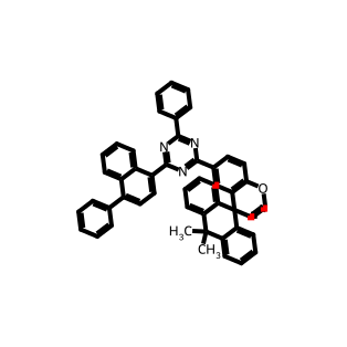 CC1(C)c2ccccc2C2(c3ccccc3Oc3ccc(-c4nc(-c5ccccc5)nc(-c5ccc(-c6ccccc6)c6ccccc56)n4)cc32)c2ccccc21